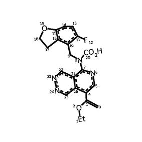 C=C(OCC)c1cnc(N(Cc2c(F)ccc3c2CCO3)C(=O)O)c2cnncc12